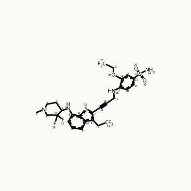 CN1CCC(Nc2cccc3c(CC(F)(F)F)c(C#CCNc4ccc(S(N)(=O)=O)cc4OCC(F)(F)F)sc23)C(F)(F)C1